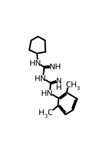 Cc1cccc(C)c1NC(=N)NC(=N)NC1CCCCC1